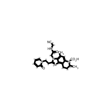 Cc1cc2c(c3nc(CCn4ccccc4=O)n(CC(=O)NCC#N)c13)CCC(C)N2C(=O)O